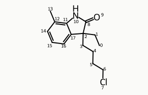 CCC1(CCCCCl)C(=O)Nc2c(C)cccc21